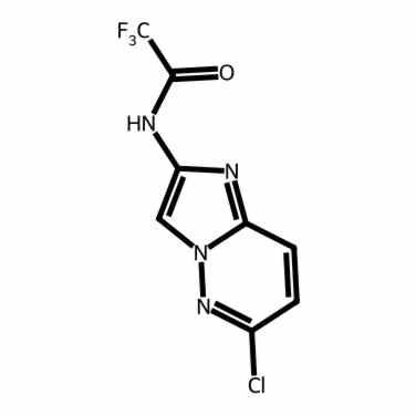 O=C(Nc1cn2nc(Cl)ccc2n1)C(F)(F)F